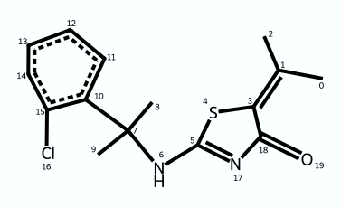 CC(C)=C1SC(NC(C)(C)c2ccccc2Cl)=NC1=O